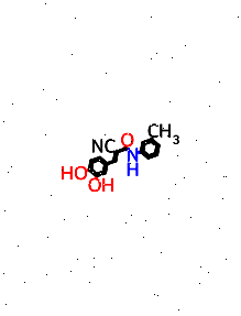 Cc1cccc(NC(=O)C(C#N)=Cc2ccc(O)c(O)c2)c1